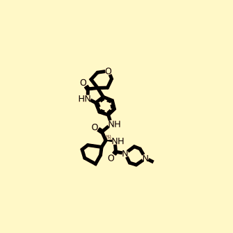 CN1CCN(C(=O)N[C@H](C(=O)Nc2ccc3c(c2)NC(=O)C32CCOCC2)C2CCCCC2)CC1